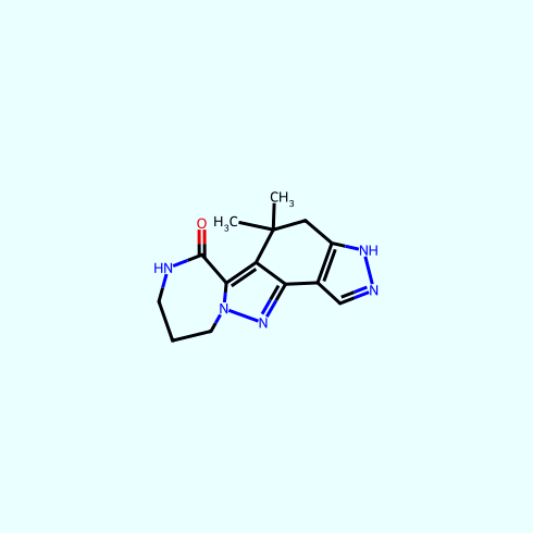 CC1(C)Cc2[nH]ncc2-c2nn3c(c21)C(=O)NCCC3